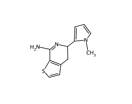 Cn1cccc1C1Cc2ccsc2C(N)=N1